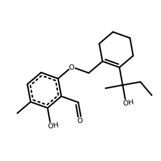 CCC(C)(O)C1=C(COc2ccc(C)c(O)c2C=O)CCCC1